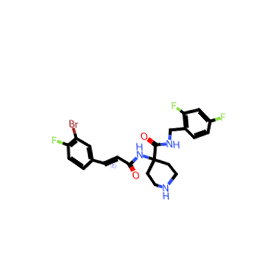 O=C(/C=C/c1ccc(F)c(Br)c1)NC1(C(=O)NCc2ccc(F)cc2F)CCNCC1